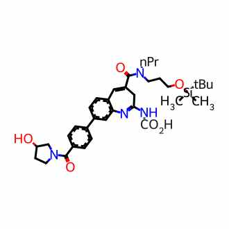 CCCN(CCCO[Si](C)(C)C(C)(C)C)C(=O)C1=Cc2ccc(-c3ccc(C(=O)N4CCC(O)C4)cc3)cc2N=C(NC(=O)O)C1